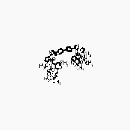 COC(=O)N[C@H](C(=O)N1[C@@H](C)CC[C@H]1c1ncc(-c2ccc(-c3ccc(-c4cnc([C@@H]5CC[C@H](C)N5C(=O)[C@@H](NC(=O)OC)C5C[C@@H](C)O[C@H]6CCC[C@@H]56)[nH]4)cc3)cc2)[nH]1)C1C[C@H](CCCC(C)C)O[C@H](C)C1